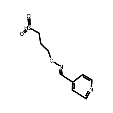 O=[SH](=O)CCCON=Cc1ccncc1